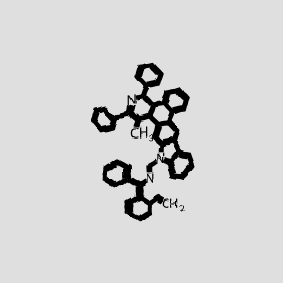 C=CC1C=CC=C/C1=C(/N=C/n1c2ccccc2c2cc3c(cc21)C1C(=C(c2ccccc2)N=C(c2ccccc2)C1C)c1ccccc1-3)c1ccccc1